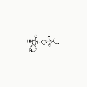 CCC(C)S(=O)(=O)N1CC(n2c(=O)[nH]c3cnccc32)C1